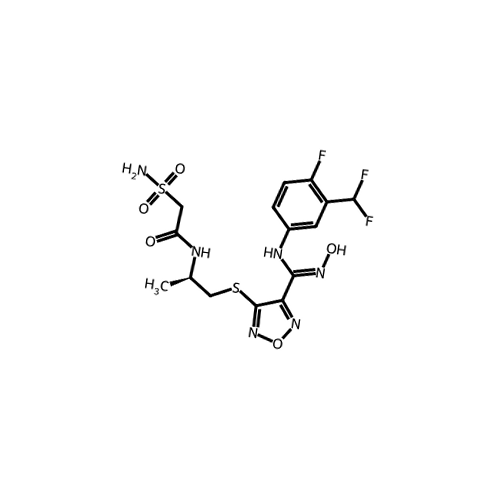 C[C@H](CSc1nonc1/C(=N/O)Nc1ccc(F)c(C(F)F)c1)NC(=O)CS(N)(=O)=O